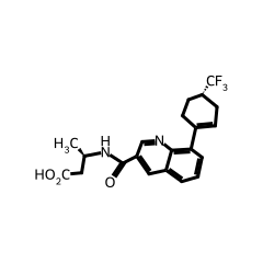 C[C@H](CC(=O)O)NC(=O)c1cnc2c(C3=CC[C@@H](C(F)(F)F)CC3)cccc2c1